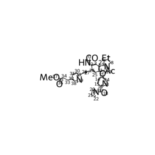 CCOC(=O)Nc1cc([C@H]2CCCN2C(C)=O)c(Oc2ccc(C(=O)N3CCC3)nc2)cc1C#Cc1ccc(CCC(=O)OC)cn1